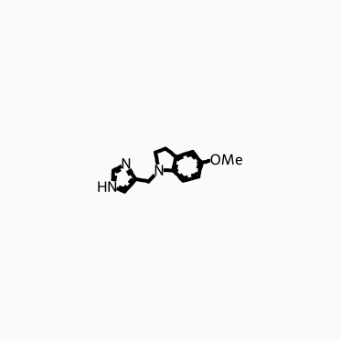 COc1ccc2c(c1)CCN2Cc1c[nH]cn1